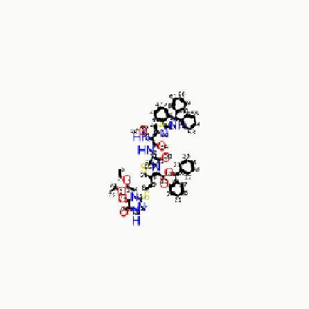 CCOC(Cn1c(S/C=C/C2=C(C(=O)OC(c3ccccc3)c3ccccc3)N3C(=O)C(NC(=O)C(NOC)c4csc(NC(c5ccccc5)(c5ccccc5)c5ccccc5)n4)C3SC2)n[nH]c(=O)c1=O)OCC